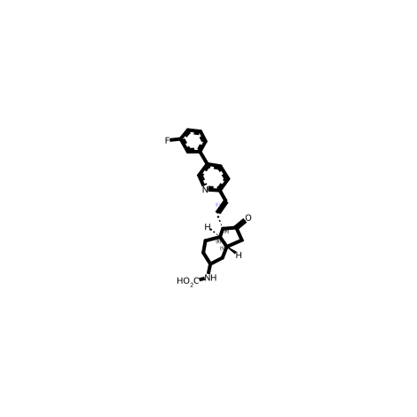 O=C(O)NC1CC[C@@H]2[C@H](CC(=O)[C@H]2/C=C/c2ccc(-c3cccc(F)c3)cn2)C1